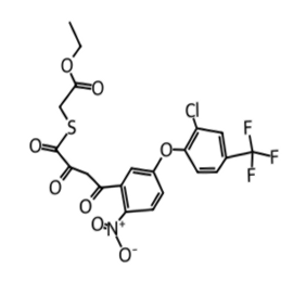 CCOC(=O)CSC(=O)C(=O)CC(=O)c1cc(Oc2ccc(C(F)(F)F)cc2Cl)ccc1[N+](=O)[O-]